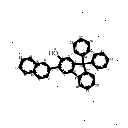 Oc1cc2c(cc1-c1ccc3ccccc3c1)-c1ccccc1C2(c1ccccc1)c1ccccc1